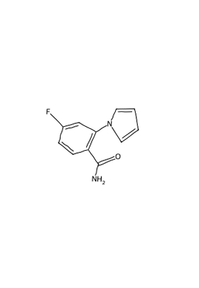 NC(=O)c1ccc(F)cc1-n1cccc1